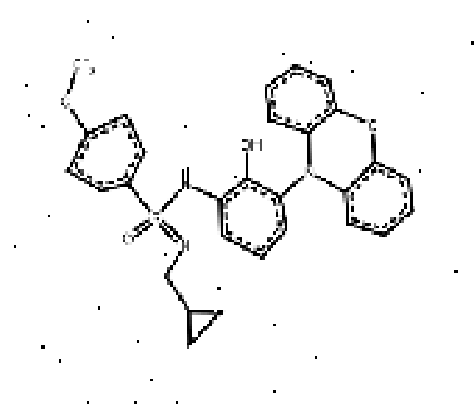 O=S(=NCC1CC1)(Nc1cccc(N2c3ccccc3Oc3ccccc32)c1O)c1ccc(OC(F)(F)F)cc1